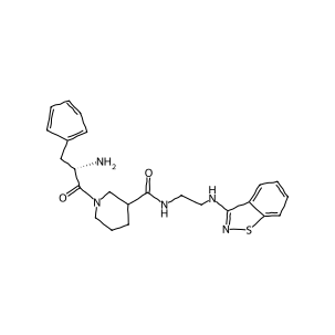 N[C@@H](Cc1ccccc1)C(=O)N1CCCC(C(=O)NCCNc2nsc3ccccc23)C1